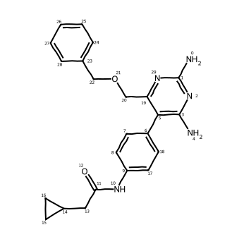 Nc1nc(N)c(-c2ccc(NC(=O)CC3CC3)cc2)c(COCc2ccccc2)n1